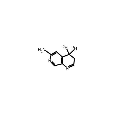 [2H]C1([2H])CC=Nc2cnc(N)cc21